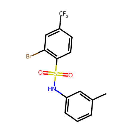 Cc1cccc(NS(=O)(=O)c2ccc(C(F)(F)F)cc2Br)c1